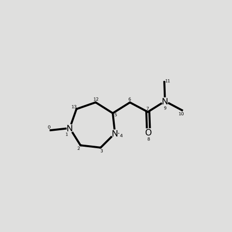 CN1CC[N]C(CC(=O)N(C)C)CC1